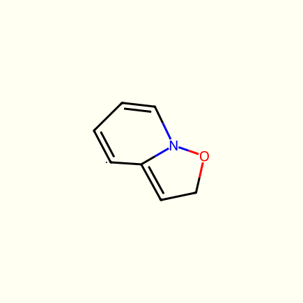 [C]1=CC=CN2OCC=C12